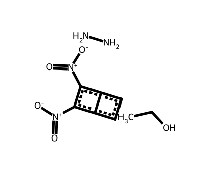 CCO.NN.O=[N+]([O-])c1c2ccc-2c1[N+](=O)[O-]